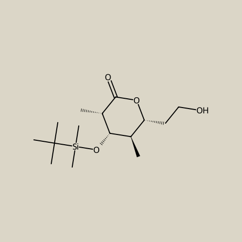 C[C@H]1[C@H](O[Si](C)(C)C(C)(C)C)[C@H](C)C(=O)O[C@@H]1CCO